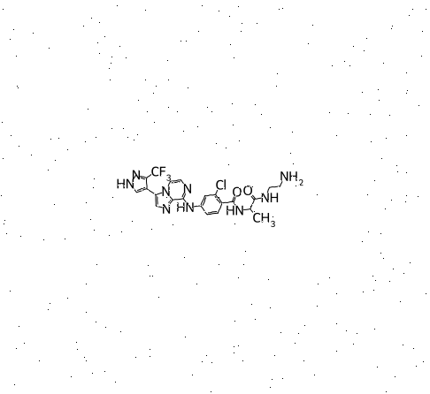 CC(NC(=O)c1ccc(Nc2nccn3c(-c4c[nH]nc4C(F)(F)F)cnc23)cc1Cl)C(=O)NCCN